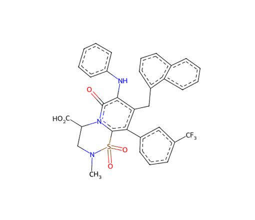 CN1CC(C(=O)O)n2c(c(-c3cccc(C(F)(F)F)c3)c(Cc3cccc4ccccc34)c(Nc3ccccc3)c2=O)S1(=O)=O